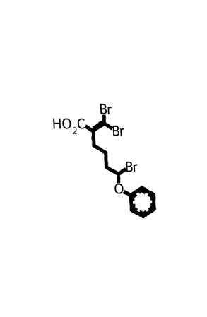 O=C(O)C(CCCC(Br)Oc1ccccc1)=C(Br)Br